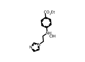 CCOC(=O)c1ccc(NCCn2ccnc2)cc1.Cl